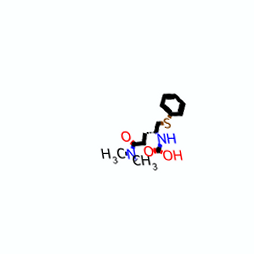 CN(C)C(=O)CC[C@H](CSc1ccccc1)NC(=O)O